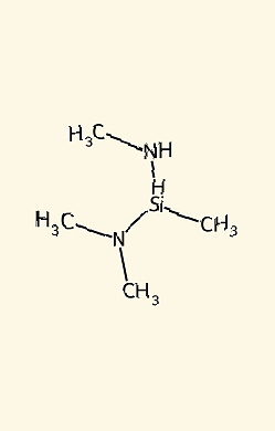 CN[SiH](C)N(C)C